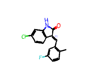 Cc1ccc(F)cc1/C=C1/C(=O)Nc2cc(Cl)ccc21